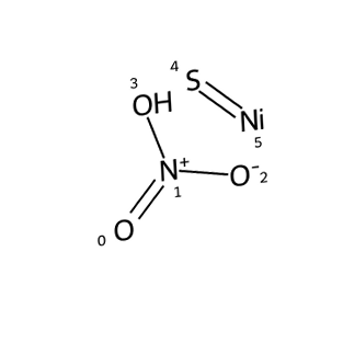 O=[N+]([O-])O.[S]=[Ni]